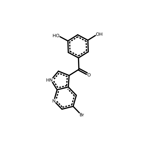 O=C(c1cc(O)cc(O)c1)c1c[nH]c2ncc(Br)cc12